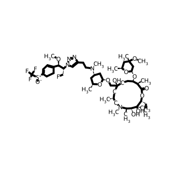 CC[C@H]1OC(=O)[C@H](C)[C@@H](O[C@H]2C[C@@](C)(OC)C[C@H](C)O2)CC[C@@](O)(CO[C@H]2C[C@@H](N(C)CCc3cn([C@H](CF)[C@H](OC)C4=CC=C([S+]([O-])C(F)(F)F)CC4)nn3)C[C@@H](C)O2)C[C@@H](C)CN(C)[C@H](C)[C@@H](O)[C@]1(C)O